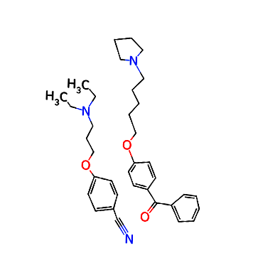 CCN(CC)CCCOc1ccc(C#N)cc1.O=C(c1ccccc1)c1ccc(OCCCCCN2CCCC2)cc1